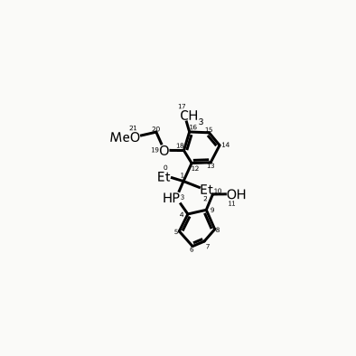 CCC(CC)(Pc1ccccc1CO)c1cccc(C)c1OCOC